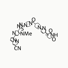 CNc1cc(-c2ccc3cc(C#N)cnn23)ncc1-c1nnc(N2CCN(C(=O)C3CCN(c4ccc([C@@H]5CCC(=O)NC5=O)cn4)CC3)CC2)s1